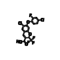 O=C(O)C1=Cc2cc(Cl)c(Oc3ccc(Cl)cc3F)cc2OC1C(F)(F)F